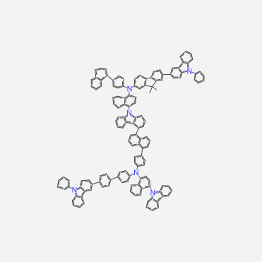 CC1(C)c2cc(-c3ccc4c(c3)c3ccccc3n4-c3ccccc3)ccc2-c2ccc(N(c3ccc(-c4cccc5ccccc45)cc3)c3ccc(-n4c5ccccc5c5c(-c6cccc7c(-c8ccc(N(c9ccc(-c%10ccc(-c%11ccc%12c(c%11)c%11ccccc%11n%12-c%11ccccc%11)cc%10)cc9)c9ccc(-n%10c%11ccccc%11c%11ccccc%11%10)c%10ccccc9%10)cc8)cccc67)cccc54)c4ccccc34)cc21